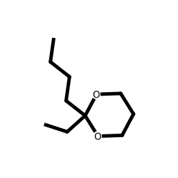 CCCCC1(CC)OCCCO1